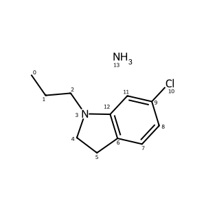 CCCN1CCc2ccc(Cl)cc21.N